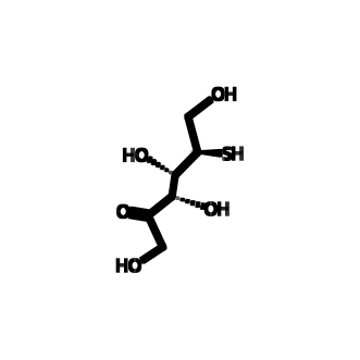 O=C(CO)[C@@H](O)[C@H](O)[C@H](S)CO